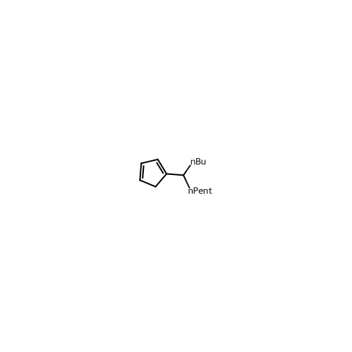 CCCCCC(CCCC)C1=CC=CC1